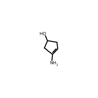 NC1=CCC(O)C1